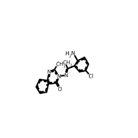 C/C(=N\n1c(C)nc2ccccc2c1=O)c1cc(Cl)ccc1N